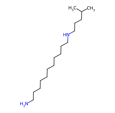 CC(C)CCCNCCCCCCCCCCCN